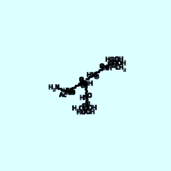 CC(=O)[C@H](CCCCN)NNC(=O)CCCCCNC(=O)[C@H](CCCCNC(=O)CCCCC(=O)NCCO[C@@H]1O[C@@H](C)[C@@H](O)[C@@H](O)[C@@H]1O)NC(=O)CCCCC(=O)NCCO[C@@H]1O[C@@H](C)[C@@H](O)[C@@H](O)[C@@H]1O